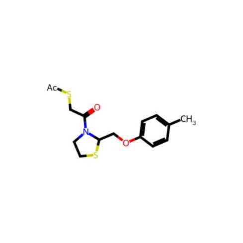 CC(=O)SCC(=O)N1CCSC1COc1ccc(C)cc1